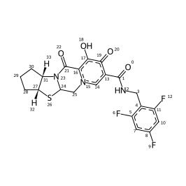 O=C(NCc1c(F)cc(F)cc1F)c1cn2c(c(O)c1=O)C(=O)N1C(C2)S[C@@H]2CCC[C@@H]21